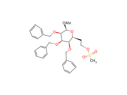 CO[C@H]1O[C@@H](CCOS(C)(=O)=O)[C@@H](OCc2ccccc2)[C@@H](OCc2ccccc2)[C@H]1OCc1ccccc1